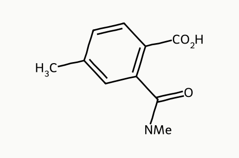 CNC(=O)c1cc(C)ccc1C(=O)O